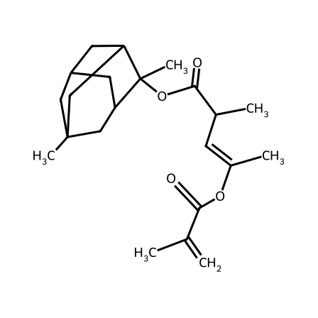 C=C(C)C(=O)O/C(C)=C/C(C)C(=O)OC1(C)C2CC3CC1CC(C)(C3)C2